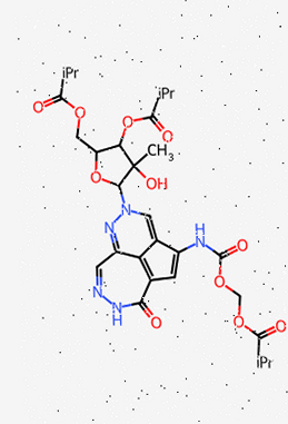 CC(C)C(=O)OCOC(=O)Nc1cc2c(=O)[nH]ncc3nn(C4OC(COC(=O)C(C)C)C(OC(=O)C(C)C)C4(C)O)cc1c32